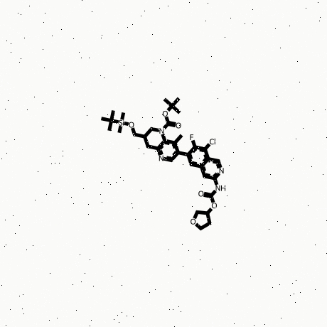 Cc1c(-c2cc3cc(NC(=O)OC4CCOC4)ncc3c(Cl)c2F)cnc2c1N(C(=O)OC(C)(C)C)CC(CO[Si](C)(C)C(C)(C)C)C2